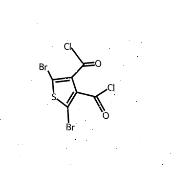 O=C(Cl)c1c(Br)sc(Br)c1C(=O)Cl